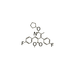 COC(=O)c1c(-c2ccc(F)cc2)nc(OC2CCCC2)c(C)c1-c1ccc(F)cc1